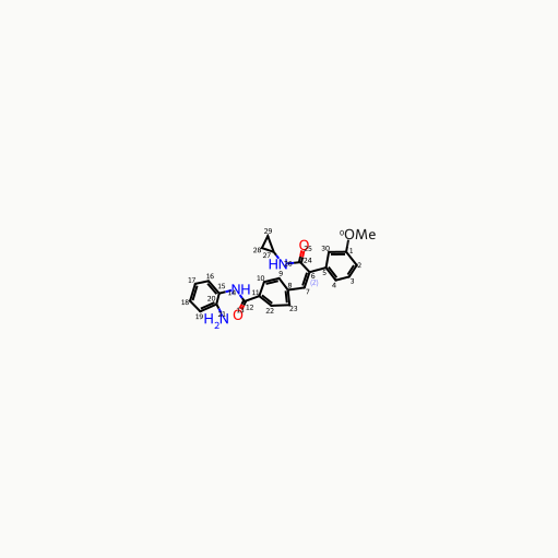 COc1cccc(/C(=C/c2ccc(C(=O)Nc3ccccc3N)cc2)C(=O)NC2CC2)c1